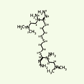 CN(C)CCN(N)/C(=N\N)SCCSSCCS/C(=N/N)N(N)CCN(C)C